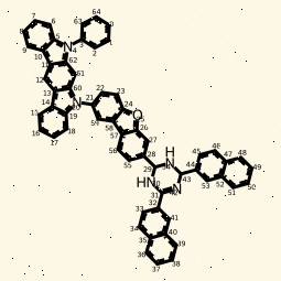 c1ccc(-n2c3ccccc3c3cc4c5ccccc5n(-c5ccc6oc7cc(C8NC(c9ccc%10ccccc%10c9)=NC(c9ccc%10ccccc%10c9)N8)ccc7c6c5)c4cc32)cc1